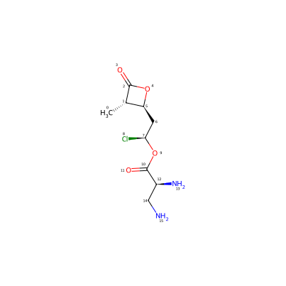 C[C@@H]1C(=O)O[C@H]1C[C@H](Cl)OC(=O)[C@@H](N)CN